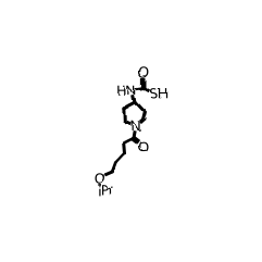 CC(C)OCCCCC(=O)N1CCC(NC(=O)S)CC1